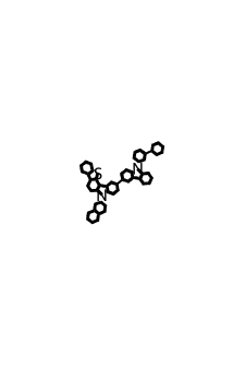 c1ccc(-c2cccc(-n3c4ccccc4c4cc(-c5ccc6c(c5)c5c7sc8ccccc8c7ccc5n6-c5ccc6ccccc6c5)ccc43)c2)cc1